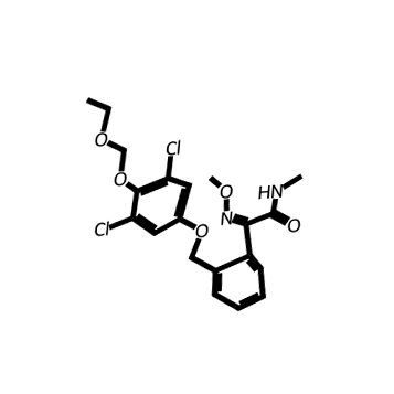 CCOCOc1c(Cl)cc(OCc2ccccc2C(=NOC)C(=O)NC)cc1Cl